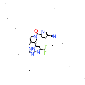 CC1=CCN(C(=O)c2ccc(C#N)cn2)C[C@H]1c1cc(C(F)F)nc2ncnn12